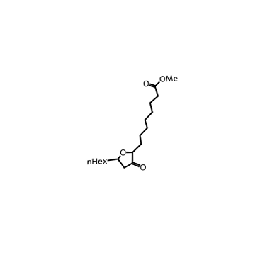 CCCCCCC1CC(=O)C(CCCCCCCC(=O)OC)O1